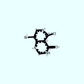 O=c1[nH]cnc2c(Br)cnc(Cl)c12